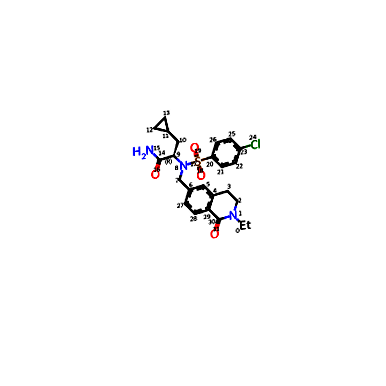 CCN1CCc2cc(CN([C@H](CC3CC3)C(N)=O)S(=O)(=O)c3ccc(Cl)cc3)ccc2C1=O